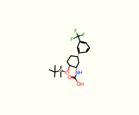 CC(C)(C)[Si](C)(C)O[C@H]1CC[C@H](c2cccc(C(F)(F)F)c2)C[C@@H]1NC(=O)O